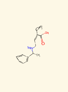 CC(=CCNC(C)c1ccccc1)C(=O)O